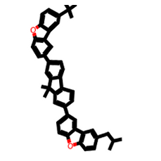 CC(C)Cc1ccc2oc3ccc(-c4ccc5c(c4)C(C)(C)c4cc(-c6ccc7oc8ccc(C(C)(C)C)cc8c7c6)ccc4-5)cc3c2c1